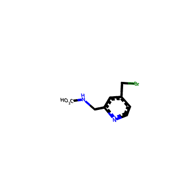 O=C(O)NCc1cc(CBr)ccn1